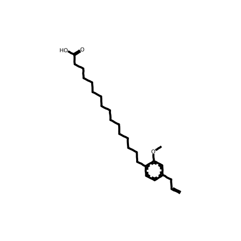 C=CCc1ccc(CCCCCCCCCCCCCCCC(=O)O)c(OC)c1